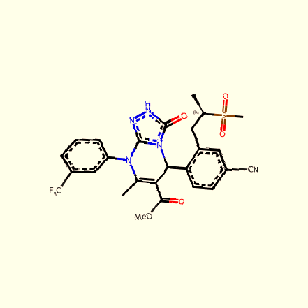 COC(=O)C1=C(C)N(c2cccc(C(F)(F)F)c2)c2n[nH]c(=O)n2C1c1ccc(C#N)cc1C[C@@H](C)S(C)(=O)=O